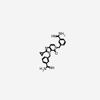 N=C(N)c1cccc(Cn2ccc3nc(C4CC4)n(Cc4cccc(C(=N)N)c4)c3c2=O)c1